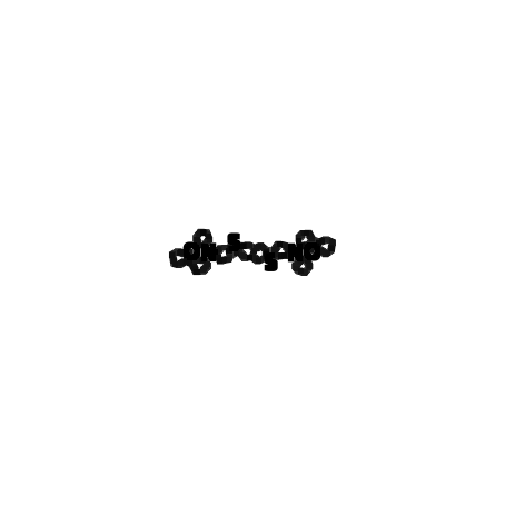 c1ccc(N(c2ccc3c(c2)sc2cc4cc5c(cc4cc23)sc2cc(N(c3ccccc3)c3cccc4c3oc3ccccc34)ccc25)c2cccc3c2oc2ccccc23)cc1